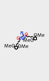 COc1cccc(OC)c1/C=C/C=C/C(=O)N1CCN(C(=O)/C=C/C=C/c2c(OC)cccc2OC)C(CN(C)C)C1